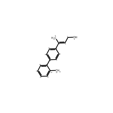 C/C(=C\CO)c1ccc(-c2ccccc2C)cc1